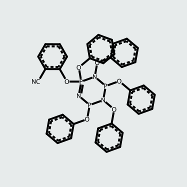 N#Cc1ccccc1OP1(Oc2ccccc2)=NP(Oc2ccccc2)N(Oc2ccccc2)P(Oc2ccccc2)N1Oc1ccccc1